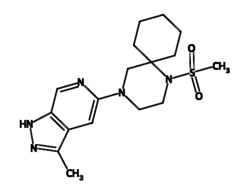 Cc1n[nH]c2cnc(N3CCN(S(C)(=O)=O)C4(CCCCC4)C3)cc12